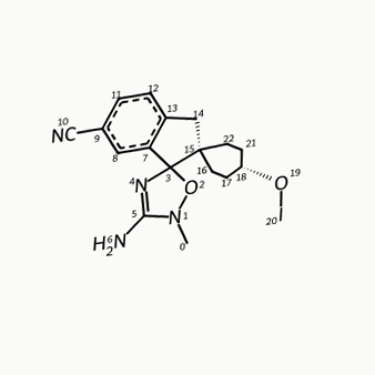 CN1OC2(N=C1N)c1cc(C#N)ccc1C[C@]21CC[C@@H](OI)CC1